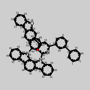 c1ccc(-c2cccc(-c3cc(-c4ccc5c(c4)oc4ccccc45)nc(-n4c5ccccc5c5ccc6c7ccccc7n(-c7ccccc7)c6c54)n3)c2)cc1